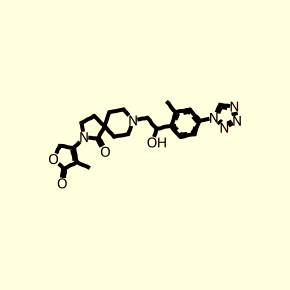 CC1=C(N2CCC3(CCN(CC(O)c4ccc(-n5cnnn5)cc4C)CC3)C2=O)COC1=O